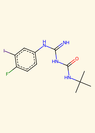 CC(C)(C)NC(=O)NC(=N)Nc1ccc(F)c(I)c1